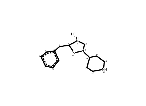 Cl.c1ccc(CC2NCN(C3CCNCC3)S2)cc1